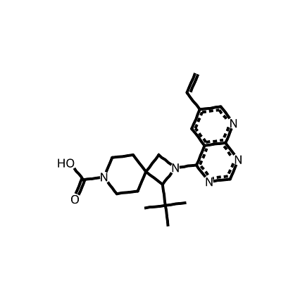 C=Cc1cnc2ncnc(N3CC4(CCN(C(=O)O)CC4)C3C(C)(C)C)c2c1